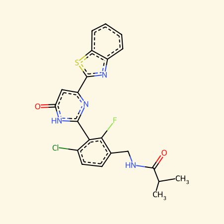 CC(C)C(=O)NCc1ccc(Cl)c(-c2nc(-c3nc4ccccc4s3)cc(=O)[nH]2)c1F